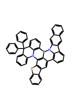 c1ccc(C2(c3ccccc3)c3ccccc3N3c4c(cccc42)B2c4c(cc5c(sc6ccccc65)c43)-c3cccc4c5cc6ccccc6cc5n2c34)cc1